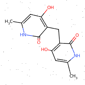 Cc1cc(O)c(Cc2c(O)cc(C)[nH]c2=O)c(=O)[nH]1